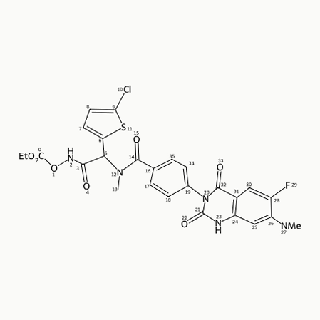 CCOC(=O)ONC(=O)C(c1ccc(Cl)s1)N(C)C(=O)c1ccc(-n2c(=O)[nH]c3cc(NC)c(F)cc3c2=O)cc1